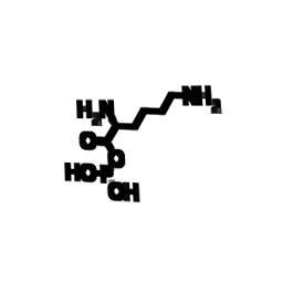 NCCCC[C@H](N)C(=O)OP(O)O